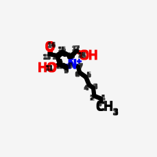 CCCCCCCC[n+]1cc(O)c(C=O)cc1CO